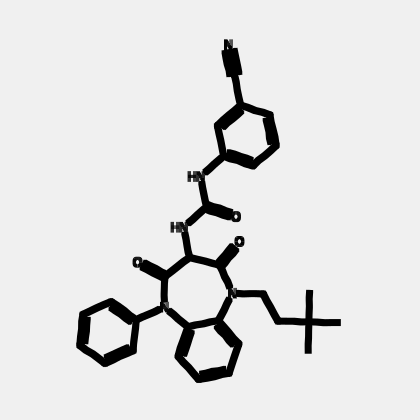 CC(C)(C)CCN1C(=O)C(NC(=O)Nc2cccc(C#N)c2)C(=O)N(c2ccccc2)c2ccccc21